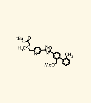 COCc1cc(-c2nc(-c3ccc(CN(C)CC(=O)OC(C)(C)C)nc3)no2)ccc1-c1ccccc1C